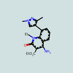 CCOC(=O)c1c(N)c2cccc(-c3cn(C)nc3C)c2n(CC)c1=O